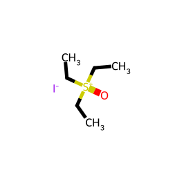 CC[S+](=O)(CC)CC.[I-]